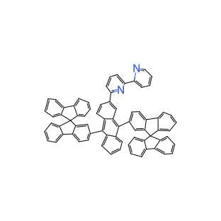 c1ccc(-c2cccc(-c3ccc4c(-c5ccc6c(c5)C5(c7ccccc7-c7ccccc75)c5ccccc5-6)c5ccccc5c(-c5ccc6c(c5)C5(c7ccccc7-c7ccccc75)c5ccccc5-6)c4c3)n2)nc1